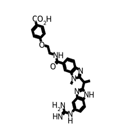 CC(c1nc2cc(NC(=N)N)ccc2[nH]1)c1nc2ccc(C(=O)NCCOc3ccc(C(=O)O)cc3)cc2n1C